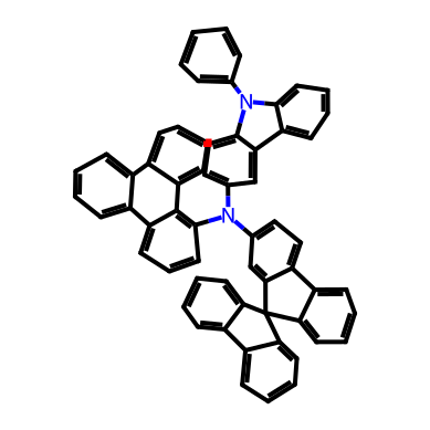 c1ccc(-n2c3ccccc3c3cc(N(c4ccc5c(c4)C4(c6ccccc6-c6ccccc64)c4ccccc4-5)c4cccc5c6ccccc6c6ccccc6c45)ccc32)cc1